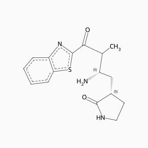 CC(C(=O)c1nc2ccccc2s1)[C@@H](N)C[C@@H]1CCNC1=O